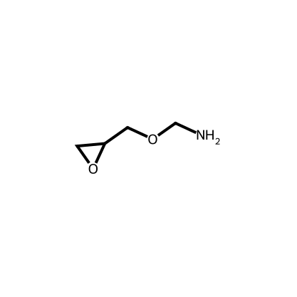 NCOCC1CO1